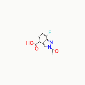 O=C(O)c1ccc(F)c2nn(C3CCO3)cc12